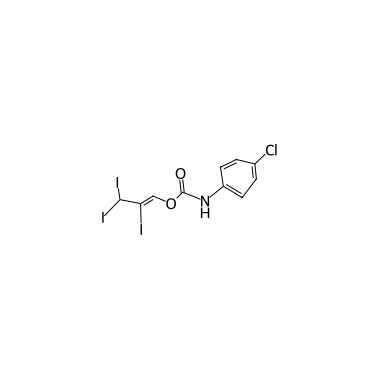 O=C(Nc1ccc(Cl)cc1)OC=C(I)C(I)I